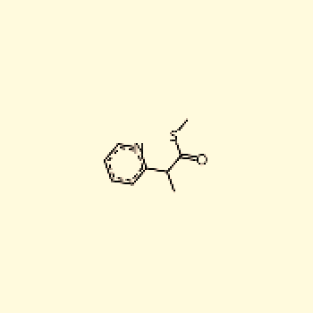 CSC(=O)C(C)c1ccccn1